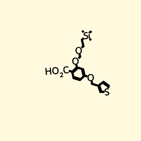 C[Si](C)(C)CCOCOc1cc(OCc2ccsc2)ccc1C(=O)O